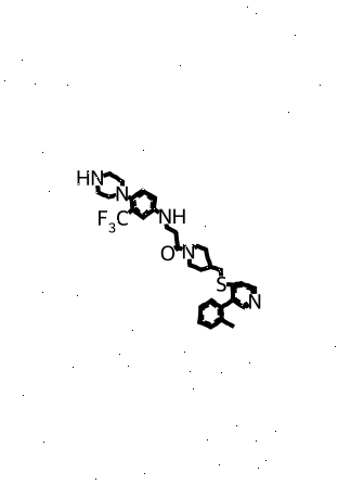 Cc1ccccc1-c1cnccc1SCC1CCN(C(=O)CCNc2ccc(N3CCNCC3)c(C(F)(F)F)c2)CC1